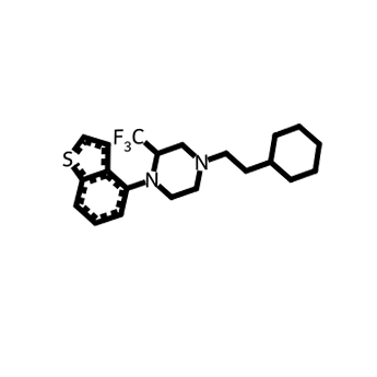 FC(F)(F)C1CN(CCC2CCCCC2)CCN1c1cccc2sccc12